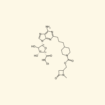 CCNC(=O)[C@H]1O[C@@H](n2cnc3c(N)nc(CCCC4CCN(C(=O)OCC5CC(=O)N5C)CC4)nc32)C(O)[C@H]1O